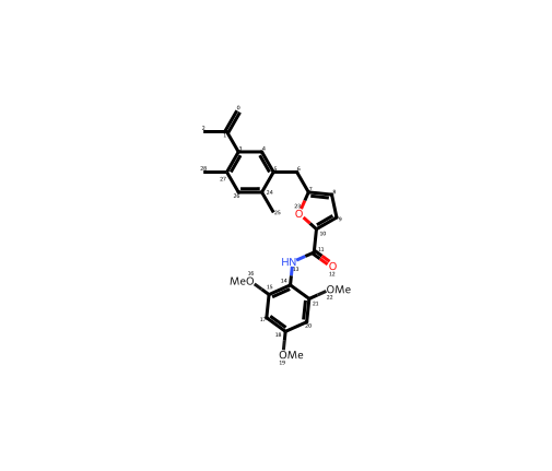 C=C(C)c1cc(Cc2ccc(C(=O)Nc3c(OC)cc(OC)cc3OC)o2)c(C)cc1C